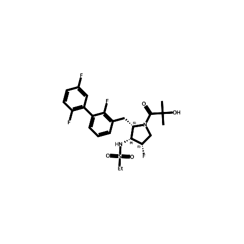 CCS(=O)(=O)N[C@H]1[C@@H](F)CN(C(=O)C(C)(C)O)[C@H]1Cc1cccc(-c2cc(F)ccc2F)c1F